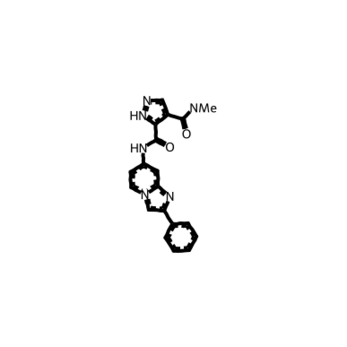 CNC(=O)c1cn[nH]c1C(=O)Nc1ccn2cc(-c3ccccc3)nc2c1